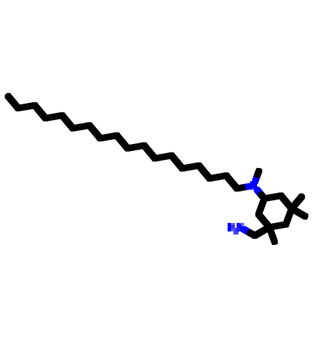 CCCCCCCCCCCCCCCCCCN(C)C1CC(C)(C)CC(C)(CN)C1